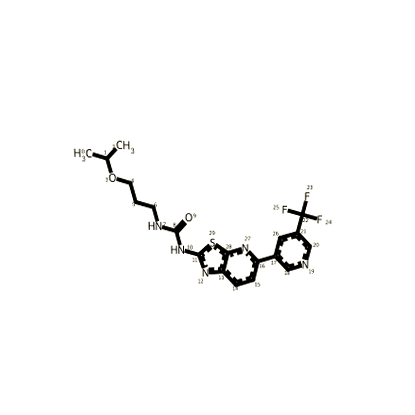 CC(C)OCCCNC(=O)Nc1nc2ccc(-c3cncc(C(F)(F)F)c3)nc2s1